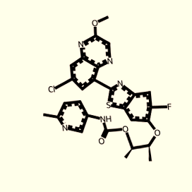 COc1cnc2c(-c3nc4cc(F)c(O[C@@H](C)[C@@H](C)OC(=O)Nc5ccc(C)nc5)cc4s3)cc(Cl)cc2n1